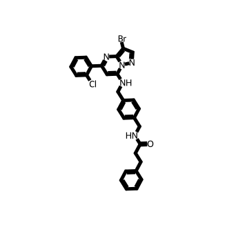 O=C(CCc1ccccc1)NCc1ccc(CNc2cc(-c3ccccc3Cl)nc3c(Br)cnn23)cc1